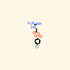 N=C(N)NCC(=O)OS(=O)(=O)c1ccc(Cl)cc1